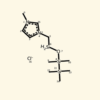 Cn1cc[n+](C[SiH2]O[Si](C)(C)[Si](C)(C)C)c1.[Cl-]